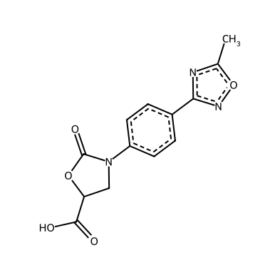 Cc1nc(-c2ccc(N3CC(C(=O)O)OC3=O)cc2)no1